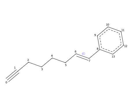 C#CCCCC/C=C/c1ccccc1